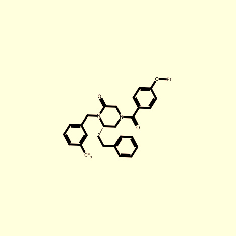 CCOc1ccc(C(=O)N2CC(=O)N(Cc3cccc(C(F)(F)F)c3)[C@@H](CCc3ccccc3)C2)cc1